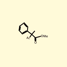 COC(=O)C(C)(C(C)=O)c1ccccc1